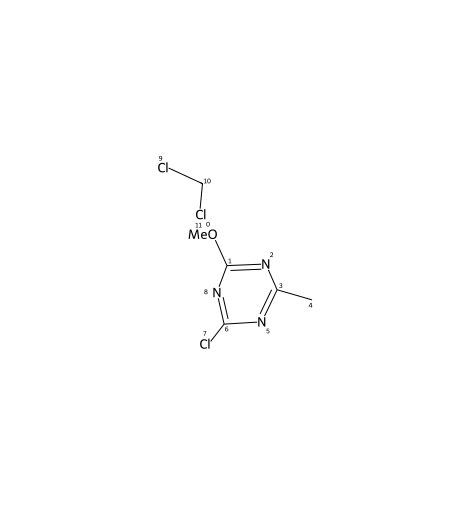 COc1nc(C)nc(Cl)n1.ClCCl